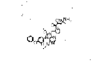 CC(C)(N)C=C(C#N)C(=O)N1CCCC1Cn1c(=O)n(-c2ccc(Oc3ccccc3)cc2)c2c(N)ncnc21